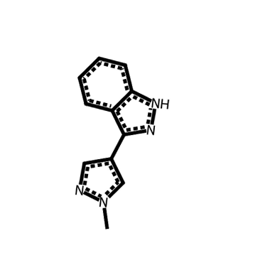 Cn1cc(-c2n[nH]c3ccccc23)cn1